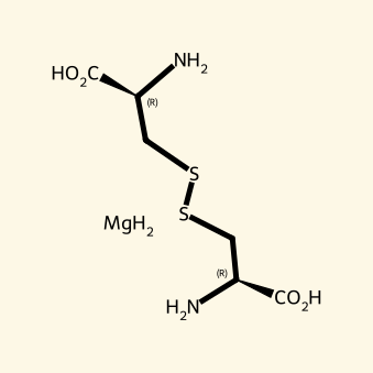 N[C@@H](CSSC[C@H](N)C(=O)O)C(=O)O.[MgH2]